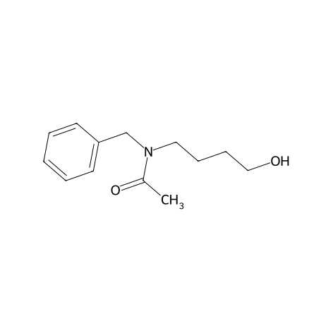 CC(=O)N(CCCCO)Cc1ccccc1